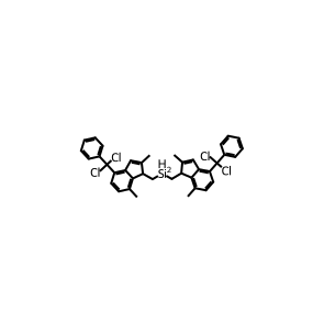 CC1=Cc2c(C(Cl)(Cl)c3ccccc3)ccc(C)c2C1C[SiH2]CC1C(C)=Cc2c(C(Cl)(Cl)c3ccccc3)ccc(C)c21